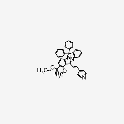 CCOC(=O)c1ccc2c(c(/C=C/c3ccncc3)nn2C(c2ccccc2)(c2ccccc2)c2ccccc2)c1OC